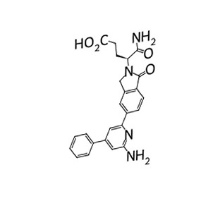 NC(=O)[C@H](CCC(=O)O)N1Cc2cc(-c3cc(-c4ccccc4)cc(N)n3)ccc2C1=O